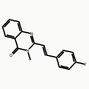 Cn1c(/C=C/c2ccc(F)cc2)nc2ccccc2c1=O